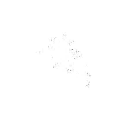 CC(C)c1c(N=C=O)ccc(C(c2ccc(N=C=O)cc2)(C(C)C)C(C)C)c1C(C)C